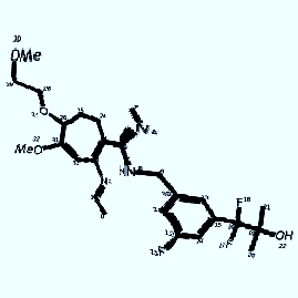 C/C=N/C1=C(C(=N\C)/NCc2cc(F)cc(C(F)(F)C(C)(C)O)c2)CCC(OCCOC)C(OC)=C1